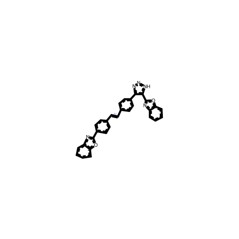 C(=C\c1ccc(-c2nn[nH]c2-c2nc3ccccc3o2)cc1)/c1ccc(-c2nc3ccccc3o2)cc1